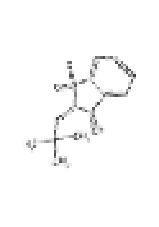 CC(C)(C)C=C1C(=O)c2ccccc2S1(=O)=O